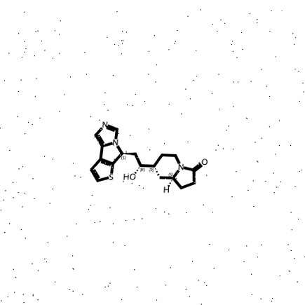 O=C1CC[C@H]2C[C@H]([C@H](O)C[C@H]3c4sccc4-c4cncn43)CCN12